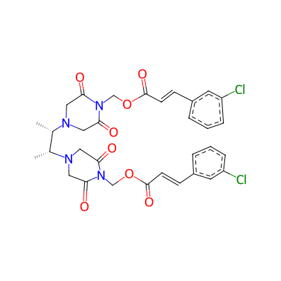 C[C@H]([C@H](C)N1CC(=O)N(COC(=O)C=Cc2cccc(Cl)c2)C(=O)C1)N1CC(=O)N(COC(=O)C=Cc2cccc(Cl)c2)C(=O)C1